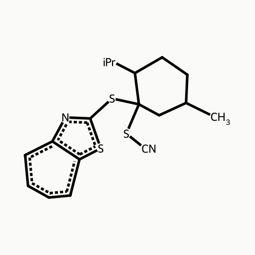 CC1CCC(C(C)C)C(SC#N)(Sc2nc3ccccc3s2)C1